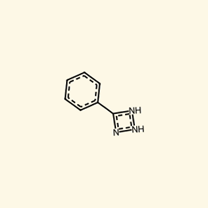 c1ccc(-c2n[nH][nH]2)cc1